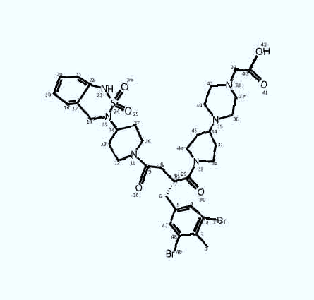 Cc1c(Br)cc(C[C@H](CC(=O)N2CCC(N3Cc4ccccc4NS3(=O)=O)CC2)C(=O)N2CCC(N3CCN(CC(=O)O)CC3)CC2)cc1Br